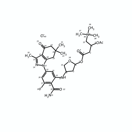 CC(=O)OC(CC(=O)OC1CC(Nc2cc(-n3nc(C)c4c3CC(C)(C)CC4=O)cc(F)c2C(N)=O)CO1)C[N+](C)(C)C.[Cl-]